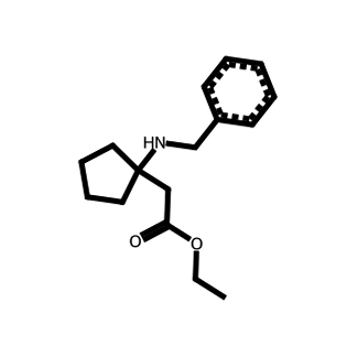 CCOC(=O)CC1(NCc2ccccc2)CCCC1